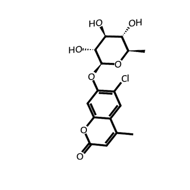 Cc1cc(=O)oc2cc(O[C@@H]3O[C@H](C)[C@@H](O)[C@H](O)[C@H]3O)c(Cl)cc12